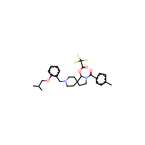 Cc1ccc(C(=O)N2CCC3(CCN(Cc4ccccc4OCC(C)C)CC3)C2OC(=O)C(F)(F)F)cc1